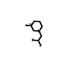 C[C@H]1CCCN(CC(F)F)C1